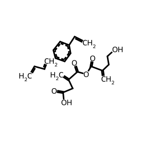 C=C(CCO)C(=O)OC(=O)C(=C)CC(=O)O.C=CC=C.C=Cc1ccccc1